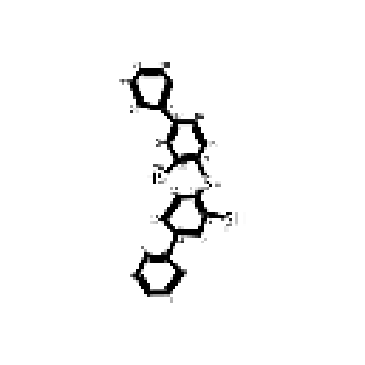 Sc1cc(-c2ccccc2)ccc1Sc1ccc(-c2ccccc2)cc1S